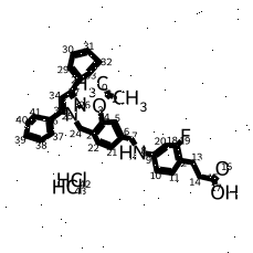 CC(C)Oc1cc(CNc2ccc(CCC(=O)O)c(F)c2)ccc1Cn1nc(-c2ccccc2)cc1-c1ccccc1.Cl.Cl